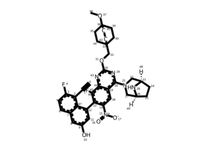 C#Cc1c(F)ccc2cc(O)cc(-c3c([N+](=O)[O-])cc4c(N5C[C@H]6CC[C@@H](C5)N6)nc(OCC56CCC(OC)(CC5)CC6)nc4c3F)c12